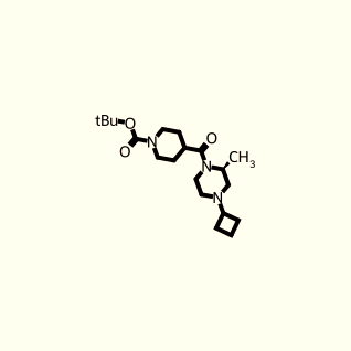 C[C@H]1CN(C2CCC2)CCN1C(=O)C1CCN(C(=O)OC(C)(C)C)CC1